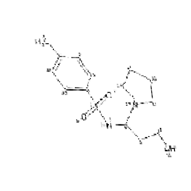 Cc1ccc(S(=O)(=O)NC(CCO)N2CCCC2)cc1